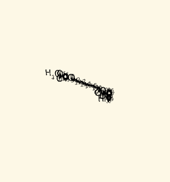 COC(=O)c1ccc(OCCCCCCCCCCC(=O)OC(=O)c2cccc3cc[nH]c23)cc1